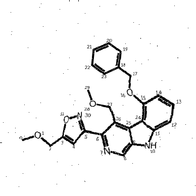 COCc1cc(-c2ncc3[nH]c4cccc(OCc5ccccc5)c4c3c2COC)no1